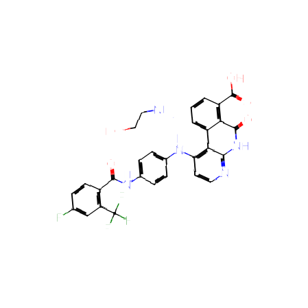 NCCO.O=C(Nc1ccc(Nc2ccnc3[nH]c(=O)c4c(C(=O)O)cccc4c23)cc1)c1ccc(F)cc1C(F)(F)F